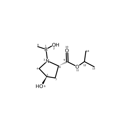 CB(O)N1C[C@H](O)C[C@H]1C(=O)OC(C)C